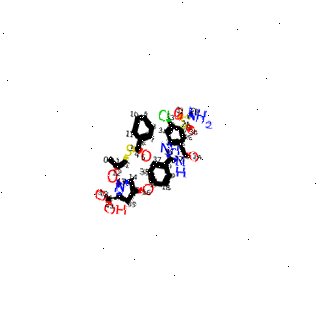 CC(CSC(=O)c1ccccc1)ON1CC(Oc2ccc(C3NC(=O)c4cc(S(N)(=O)=O)c(Cl)cc4N3)cc2)C[C@H]1C(=O)O